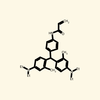 C=CC(=O)Nc1ccc(C(c2ccc(N(CC)CC)cc2C)c2ccc(N(CC)CC)cc2C)cc1